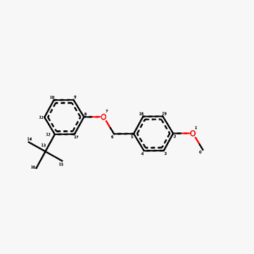 COc1ccc(COc2cccc(C(C)(C)C)c2)cc1